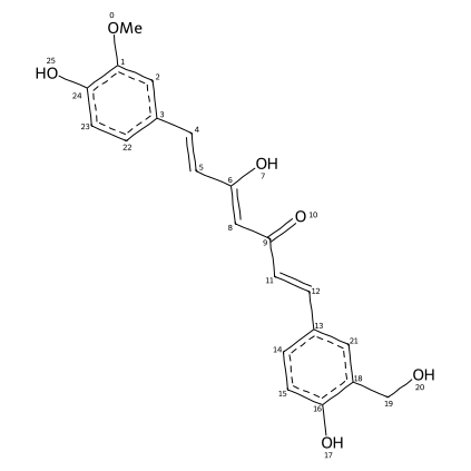 COc1cc(/C=C/C(O)=C/C(=O)/C=C/c2ccc(O)c(CO)c2)ccc1O